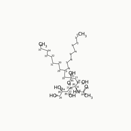 CCCCCCCCCC([CH][C@]1(O)C[C@H](O)[C@@H](NC(C)=O)[C@H]([C@H](O)[C@H](O)CO)O1)CCCCCCCC